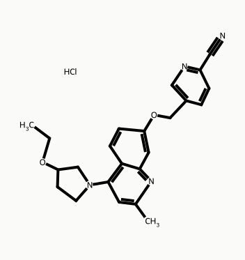 CCOC1CCN(c2cc(C)nc3cc(OCc4ccc(C#N)nc4)ccc23)C1.Cl